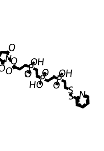 O=C(CCP(=O)(O)CCP(=O)(O)CCP(=O)(O)CCSSc1ccccn1)ON1C(=O)CCC1=O